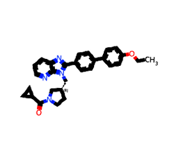 CCOc1ccc(-c2ccc(-c3nc4cccnc4n3C[C@@H]3CCN(C(=O)C4CC4)C3)cc2)cc1